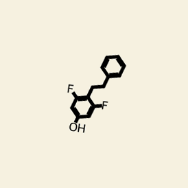 Oc1cc(F)c(CCc2ccccc2)c(F)c1